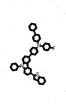 Fc1ccc(N(c2ccc(-c3ccccc3)cc2)c2ccc(-c3ccc4c(c3)c3cc(-c5cc6ccccc6s5)ccc3n4-c3ccccc3)cc2)cc1